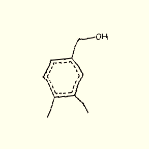 Cc1ccc([CH]O)cc1C